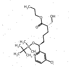 CCCOC(=O)[C@H](CO)CCC[C@H](O[Si](C)(C)C(C)(C)C)c1cc(Cl)ccn1